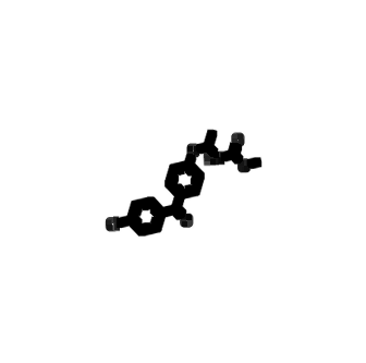 COC(=O)NC(C)Oc1ccc(C(=O)c2ccc(Cl)cc2)cc1